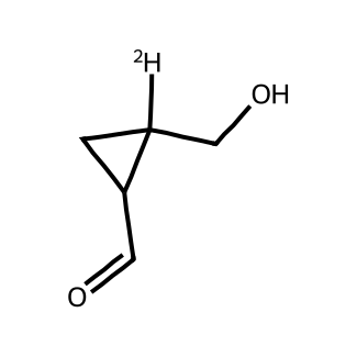 [2H]C1(CO)CC1C=O